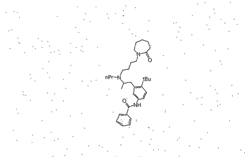 CCCN(CCCCN1CCCCCC1=O)C(C)Cc1cc(NC(=O)c2ccccc2)ccc1C(C)(C)C